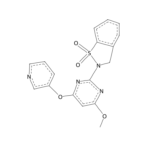 COc1cc(Oc2cccnc2)nc(N2Cc3ccccc3S2(=O)=O)n1